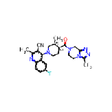 Cc1nc2ccc(F)cc2c(N2CC[C@H](C(=O)N3CCn4c(nnc4C(F)(F)F)C3)[C@H](C)C2)c1C#N